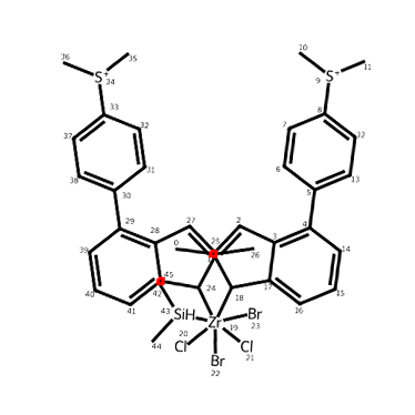 CC1=Cc2c(-c3ccc([S+](C)C)cc3)cccc2[CH]1[Zr]([Cl])([Cl])([Br])([Br])([CH]1C(C)=Cc2c(-c3ccc([S+](C)C)cc3)cccc21)[SiH](C)C